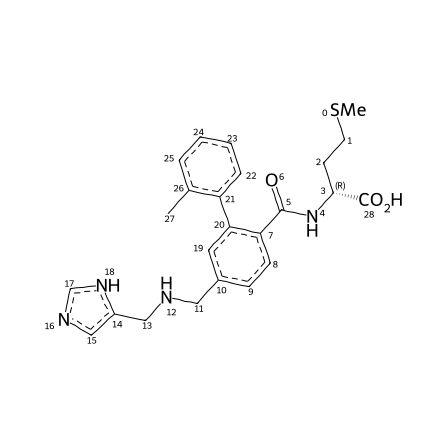 CSCC[C@@H](NC(=O)c1ccc(CNCc2cnc[nH]2)cc1-c1ccccc1C)C(=O)O